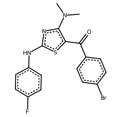 CN(C)c1nc(Nc2ccc(F)cc2)sc1C(=O)c1ccc(Br)cc1